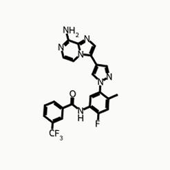 Cc1cc(F)c(NC(=O)c2cccc(C(F)(F)F)c2)cc1-n1cc(-c2cnc3c(N)nccn23)cn1